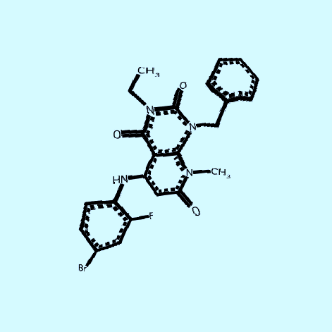 CCn1c(=O)c2c(Nc3ccc(Br)cc3F)cc(=O)n(C)c2n(Cc2ccccc2)c1=O